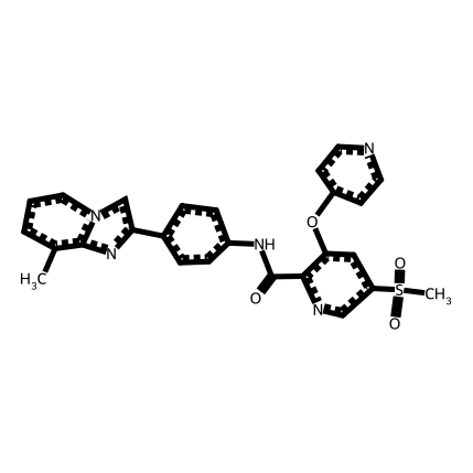 Cc1cccn2cc(-c3ccc(NC(=O)c4ncc(S(C)(=O)=O)cc4Oc4ccncc4)cc3)nc12